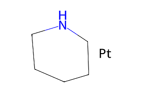 C1CCNCC1.[Pt]